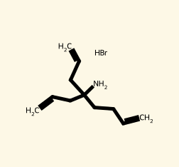 Br.C=CCCC(N)(CC=C)CC=C